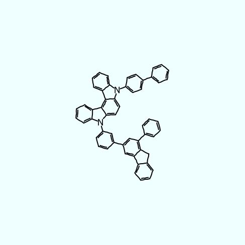 c1ccc(-c2ccc(-n3c4ccccc4c4c5c6ccccc6n(-c6cccc(-c7cc(-c8ccccc8)c8c(c7)-c7ccccc7C8)c6)c5ccc43)cc2)cc1